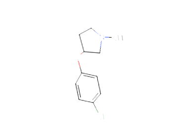 CN1CCC(Oc2ccc(Cl)cc2)C1